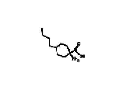 CCCCC1CCC(N)(C(=O)O)CC1